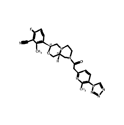 Cc1nc(CC(=O)N2CCN3C[C@H](c4ccc(F)c(C#N)c4C)OC[C@H]3C2)ccc1-n1cnnn1